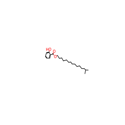 CC(C)CCCCCCCCCCCCCOC(=O)c1ccccc1O